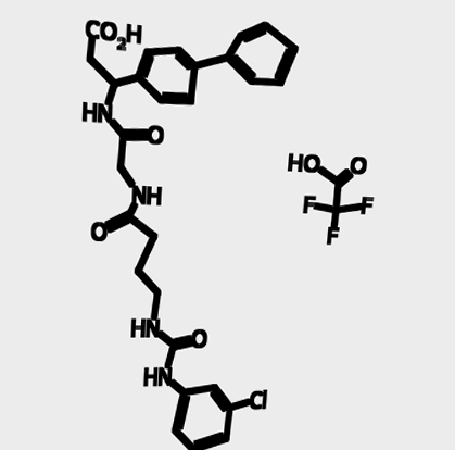 O=C(O)C(F)(F)F.O=C(O)CC(NC(=O)CNC(=O)CCCNC(=O)Nc1cccc(Cl)c1)c1ccc(-c2ccccc2)cc1